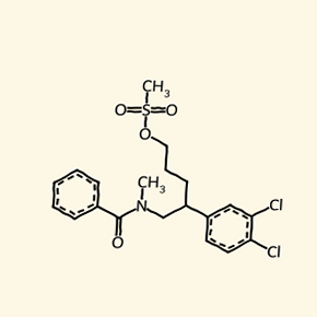 CN(CC(CCCOS(C)(=O)=O)c1ccc(Cl)c(Cl)c1)C(=O)c1ccccc1